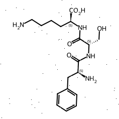 NCCCC[C@H](NC(=O)[C@H](CO)NC(=O)[C@@H](N)Cc1ccccc1)C(=O)O